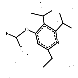 CCc1cc(OC(F)F)c(C(C)C)c(C(C)C)n1